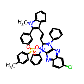 Cc1ccc(S(=O)(=O)O[N+]2(c3ccccc3)c3nc4ccc(Cl)cc4nc3N(c3ccccc3)C2C=Cc2c(-c3ccccc3)n(C)c3ccccc23)cc1